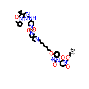 CC1CCCC1N1C(=O)C2(CC2)c2cnc(NC3CCN(S(=O)(=O)N4CCC5(CCN(CCCCCCCOc6cccc7c6n(C)c(=O)n7C6CCC(=O)N(COCC[Si](C)(C)C)C6=O)C5)C4)CC3)nc21